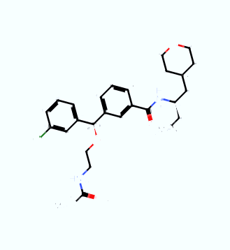 CNC[C@H](CC1CCOCC1)NC(=O)c1cccc([C@@H](OCCNC(=O)OC)c2cccc(Cl)c2)c1